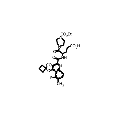 CCOC(=O)N1CCN(C(=O)C(CCC(=O)O)NC(=O)c2cc(OC3(C(=O)O)CCC3)c3c(F)c(C)ccc3n2)CC1